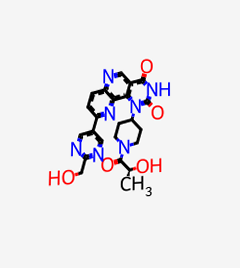 C[C@H](O)C(=O)N1CCC(n2c(=O)[nH]c(=O)c3cnc4ccc(-c5cnc(CO)nc5)nc4c32)CC1